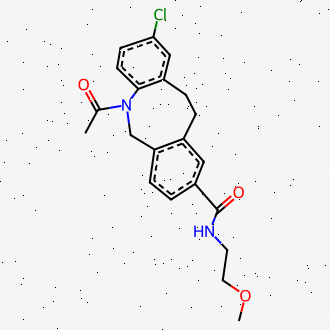 COCCNC(=O)c1ccc2c(c1)CCc1cc(Cl)ccc1N(C(C)=O)C2